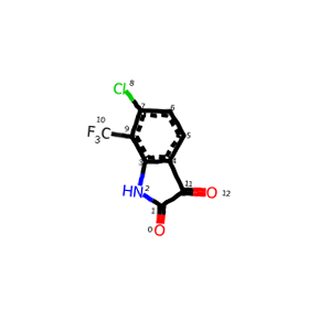 O=C1Nc2c(ccc(Cl)c2C(F)(F)F)C1=O